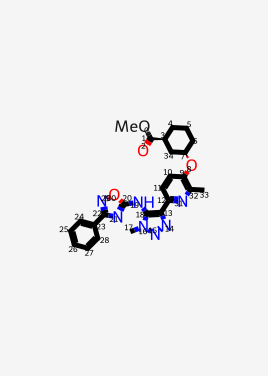 COC(=O)[C@H]1CCC[C@H](Oc2ccc(-c3nnn(C)c3Nc3nc(-c4ccccc4)no3)nc2C)C1